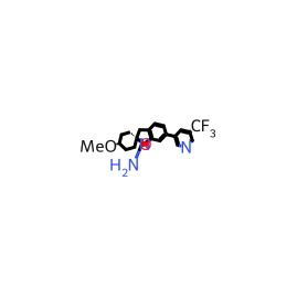 CO[C@H]1CC[C@]2(CC1)Cc1ccc(-c3cncc(C(F)(F)F)c3)cc1C21COC(N)=N1